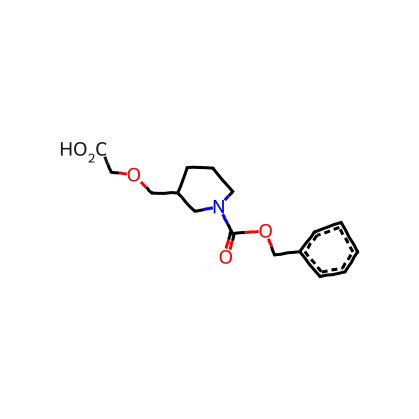 O=C(O)COCC1CCCN(C(=O)OCc2ccccc2)C1